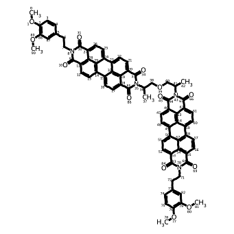 COc1ccc(CCN2C(=O)c3ccc4c5ccc6c7c(ccc(c8ccc(c3c48)C2=O)c75)C(=O)N(C(C)COCC(C)N2C(=O)c3ccc4c5ccc7c8c(ccc(c9ccc(c3c49)C2=O)c85)C(=O)N(CCc2ccc(OC)c(OC)c2)C7=O)C6=O)cc1OC